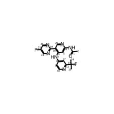 CC(=O)Nc1cc(Nc2ccnc(C(C)(C)F)c2)c(-c2ncc(F)cn2)cn1